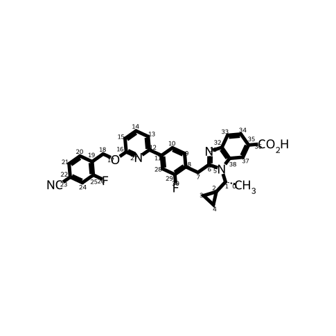 C[C@H](C1CC1)n1c(Cc2ccc(-c3cccc(OCc4ccc(C#N)cc4F)n3)cc2F)nc2ccc(C(=O)O)cc21